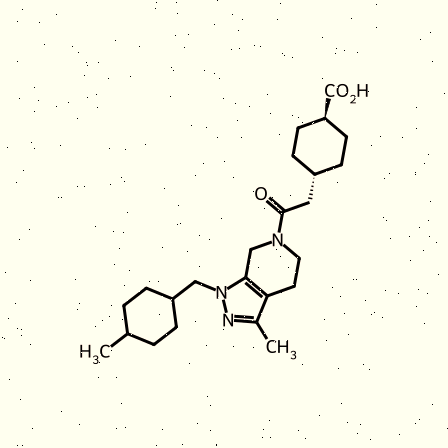 Cc1nn(CC2CCC(C)CC2)c2c1CCN(C(=O)C[C@H]1CC[C@H](C(=O)O)CC1)C2